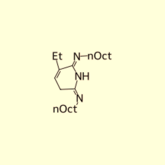 CCCCCCCCN=C1CC=C(CC)C(=NCCCCCCCC)N1